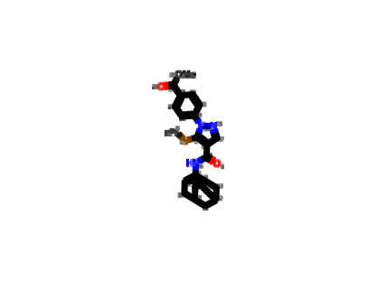 CCCSc1c(C(=O)NC2C3CC4CC(C3)CC2C4)cnn1-c1ccc(C(=O)OC)cc1